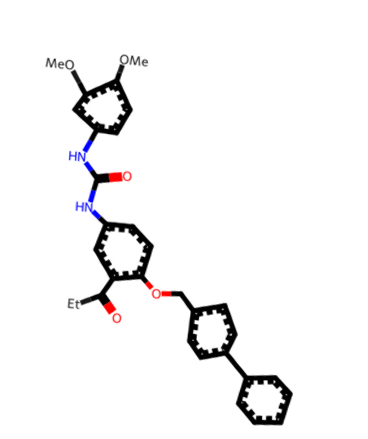 CCC(=O)c1cc(NC(=O)Nc2ccc(OC)c(OC)c2)ccc1OCc1ccc(-c2ccccc2)cc1